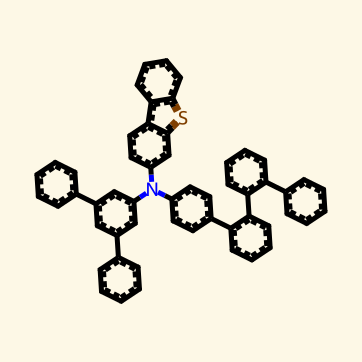 c1ccc(-c2cc(-c3ccccc3)cc(N(c3ccc(-c4ccccc4-c4ccccc4-c4ccccc4)cc3)c3ccc4c(c3)sc3ccccc34)c2)cc1